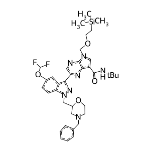 CC(C)(C)NC(=O)c1cn(COCC[Si](C)(C)C)c2ncc(-c3nn(CC4CN(Cc5ccccc5)CCO4)c4ccc(OC(F)F)cc34)nc12